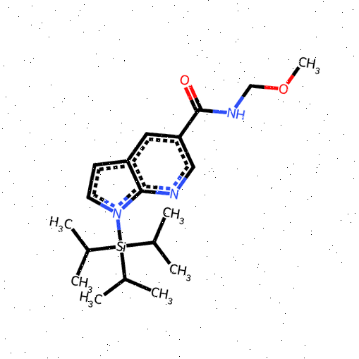 COCNC(=O)c1cnc2c(ccn2[Si](C(C)C)(C(C)C)C(C)C)c1